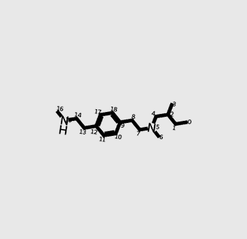 CCC(C)CN(C)CCc1ccc(CCNC)cc1